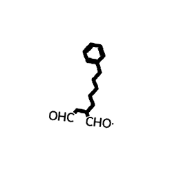 O=[C]C(CC=O)CCCCCc1ccccc1